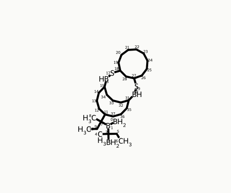 BB(C(B)(C)CC)C(C)(CC)C1CCCC2BSC3CCCCCCCCC(C3)SBC(CCC2)CCC1